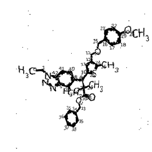 CCn1nnc2c(C)c([C@@H](c3cc(COCc4ccc(OC)cc4)c(C)s3)C(C)(C)C(=O)OCc3ccccc3)ccc21